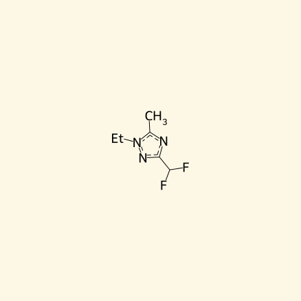 CCn1nc(C(F)F)nc1C